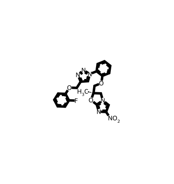 C[C@]1(COc2ccccc2-n2cc(COc3ccccc3F)nn2)Cn2cc([N+](=O)[O-])nc2O1